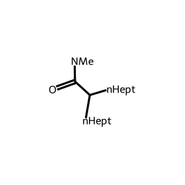 CCCCCCCC(CCCCCCC)C(=O)NC